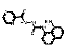 Nc1cccc2cccc(NC(=O)NNC(=O)c3cnccn3)c12